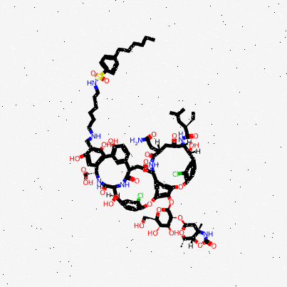 CCCCCCc1ccc(S(=O)(=O)NCCCCCCNCc2c(O)cc3c(c2O)-c2cc(ccc2O)[C@H]2CC(=O)[C@@H]4NC(=O)[C@H](CC(N)=O)CC(=O)[C@H](NC(=O)[C@H](CC)CC(C)C)[C@H](O)c5ccc(c(Cl)c5)Oc5cc4cc(c5O[C@@H]4O[C@H](CO)[C@@H](O)[C@H](O)[C@H]4O[C@H]4C[C@]5(C)NC(=O)O[C@@H]5[C@H](C)O4)Oc4ccc(cc4Cl)[C@@H](O)[C@H](NC2=O)C(=O)N[C@@H]3C(=O)O)cc1